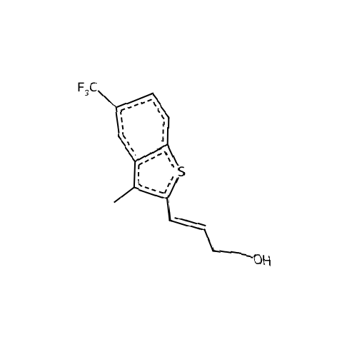 Cc1c(/C=C/CO)sc2ccc(C(F)(F)F)cc12